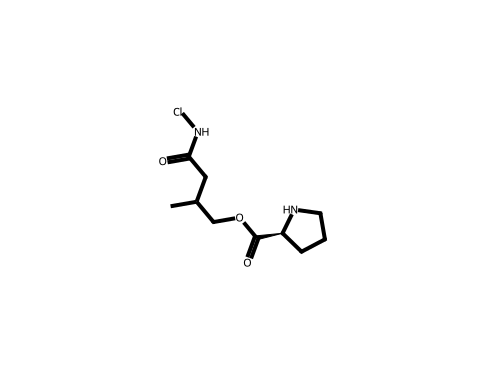 CC(COC(=O)[C@@H]1CCCN1)CC(=O)NCl